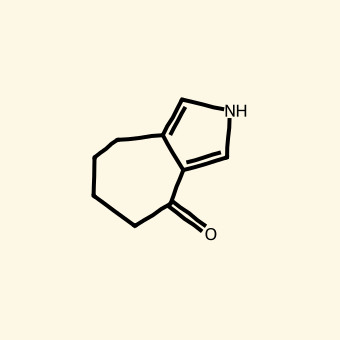 O=C1CCCCc2c[nH]cc21